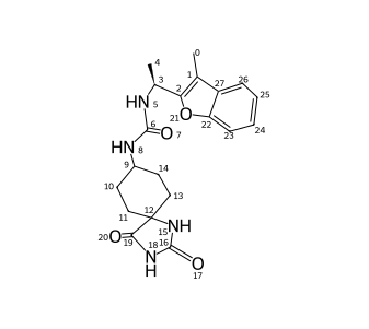 Cc1c([C@H](C)NC(=O)NC2CCC3(CC2)NC(=O)NC3=O)oc2ccccc12